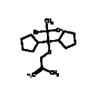 C=C(C)CO[Si](C1CCCC1)(C1CCCC1)C(C)(C)CC